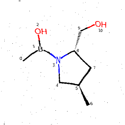 CB(O)N1C[C@H](C)C[C@H]1CO